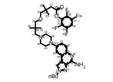 CCCCn1cc2c(n1)c(N)nc1ccc(N3CCN(CC(C)(C)COCC(C)(C)CC(=O)Oc4c(F)c(F)cc(F)c4F)CC3)cc12